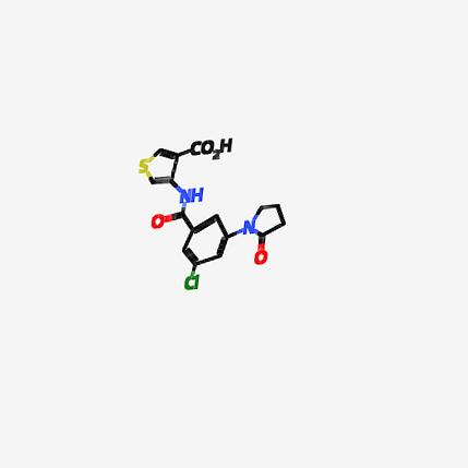 O=C(Nc1cscc1C(=O)O)c1cc(Cl)cc(N2CCCC2=O)c1